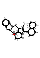 CC1=Cc2ccccc2C1CC1C(C)=C(c2cccc3ccccc23)c2ccccc21